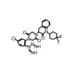 N=CN(N=N)c1ccc(Cl)cc1N1CC(=O)N(C(Cc2ccccc2)C(=O)NC2CCC(F)(F)CC2)CC1=O